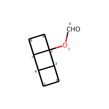 O=COC12C3C4C5C3C1C5C42